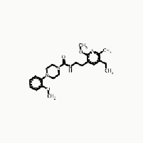 CCc1cc(CCNC(=O)N2CCN(c3ccccc3OC)CC2)c(OC)nc1C